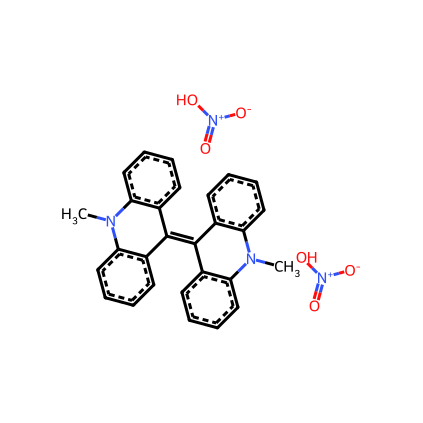 CN1c2ccccc2C(=C2c3ccccc3N(C)c3ccccc32)c2ccccc21.O=[N+]([O-])O.O=[N+]([O-])O